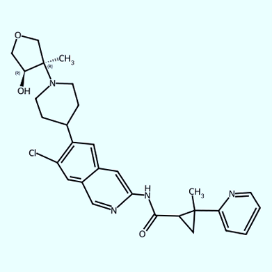 CC1(c2ccccn2)CC1C(=O)Nc1cc2cc(C3CCN([C@]4(C)COC[C@@H]4O)CC3)c(Cl)cc2cn1